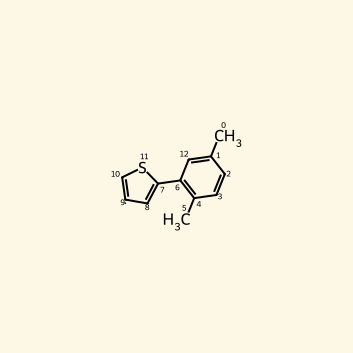 Cc1ccc(C)c(-c2c[c]cs2)c1